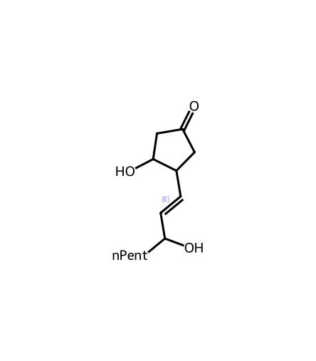 CCCCCC(O)/C=C/C1CC(=O)CC1O